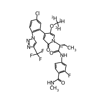 [2H]C([2H])([2H])Oc1cn([C@@H](CC)C(=O)Nc2ccc(C(=O)NC)c(F)c2)c(=O)cc1-c1cc(Cl)ccc1-n1cc(C(F)(F)F)nn1